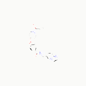 CCCC(=O)N1CCC(Oc2ccc(C(=O)NCc3ccc4nccn4c3)cc2)CC1